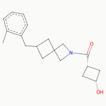 Cc1ccccc1CC1CC2(C1)CN(C(=O)[C@H]1C[C@@H](O)C1)C2